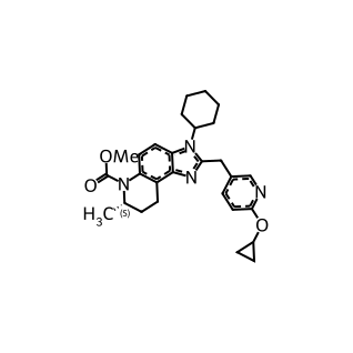 COC(=O)N1c2ccc3c(nc(Cc4ccc(OC5CC5)nc4)n3C3CCCCC3)c2CC[C@@H]1C